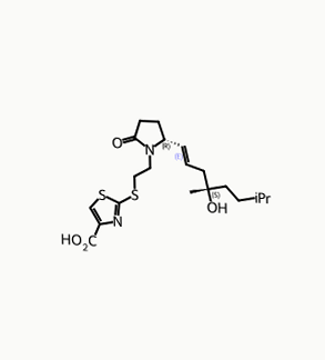 CC(C)CC[C@](C)(O)C/C=C/[C@H]1CCC(=O)N1CCSc1nc(C(=O)O)cs1